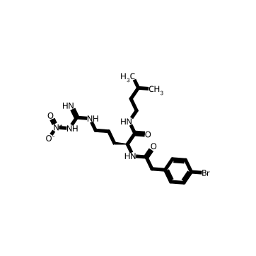 CC(C)CCNC(=O)[C@H](CCCNC(=N)N[N+](=O)[O-])NC(=O)Cc1ccc(Br)cc1